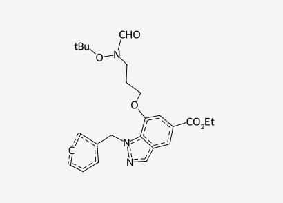 CCOC(=O)c1cc(OCCCN(C=O)OC(C)(C)C)c2c(cnn2Cc2ccccc2)c1